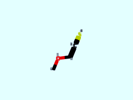 COC=C=S